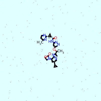 Cc1ccnc([C@H]2C[C@@H]2C(=O)Nc2cc(OC(C)c3cn4cc(C5CC5)cc(N5CCOC5=O)c4n3)cnn2)n1